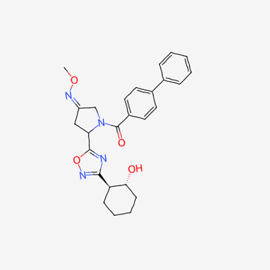 CON=C1CC(c2nc([C@@H]3CCCC[C@H]3O)no2)N(C(=O)c2ccc(-c3ccccc3)cc2)C1